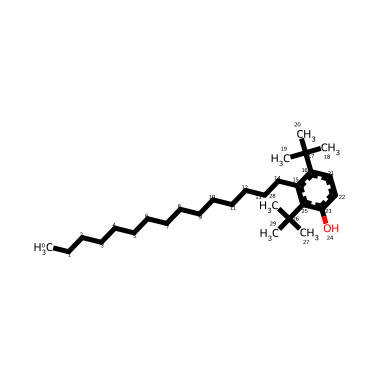 CCCCCCCCCCCCCCCc1c(C(C)(C)C)ccc(O)c1C(C)(C)C